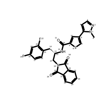 Cn1nccc1-c1csc(C(=O)N[C@@H](Cc2ccc(F)cc2F)CN2C(=O)c3ccccc3C2=O)c1